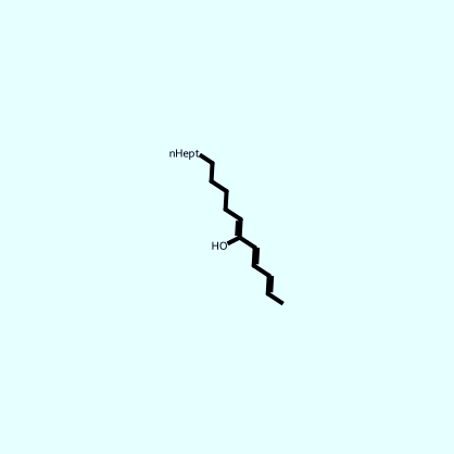 C/C=C/C=C/C(O)=C/CCCCCCCCCCC